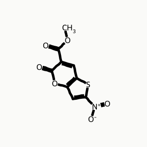 COC(=O)c1cc2sc([N+](=O)[O-])cc2oc1=O